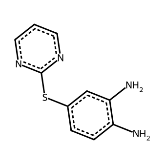 Nc1ccc(Sc2ncccn2)cc1N